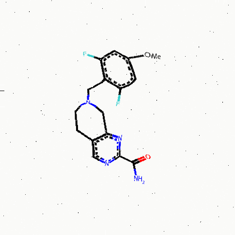 COc1cc(F)c(CN2CCc3[c]nc(C(N)=O)nc3C2)c(F)c1